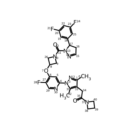 Cc1nn(-c2cc(OC3CN(C(=O)N4N=CCC4c4cc(F)cc(F)c4)C3)c(F)cn2)c(C)c1CC(=O)N1CCC1